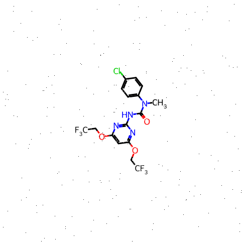 CN(C(=O)Nc1nc(OCC(F)(F)F)cc(OCC(F)(F)F)n1)c1ccc(Cl)cc1